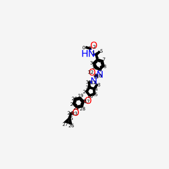 CC(=O)NC(C)c1ccc2nc(N3CC4CC(Oc5cccc(OCC6CC6)c5)CC4C3)oc2c1